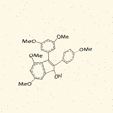 COc1ccc(C2=C(c3cc(OC)cc(OC)c3)c3c(OC)cc(OC)cc3C2O)cc1